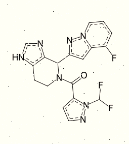 O=C(c1ccnn1C(F)F)N1CCc2[nH]cnc2C1c1cc2c(F)cccn2n1